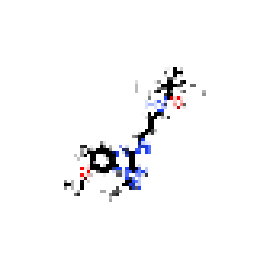 COc1cc2c(cc1C)nc(NCCCCNC(=O)C(C)(C)C)c1nnc(C)n12